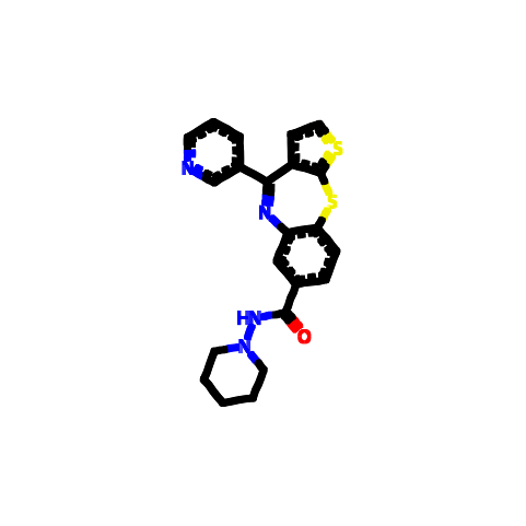 O=C(NN1CCCCC1)c1ccc2c(c1)N=C(c1cccnc1)c1ccsc1S2